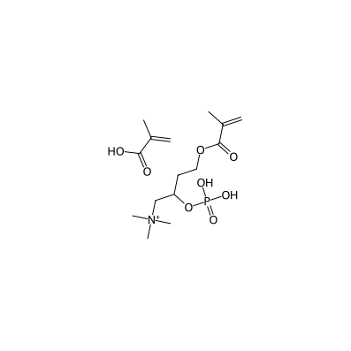 C=C(C)C(=O)O.C=C(C)C(=O)OCCC(C[N+](C)(C)C)OP(=O)(O)O